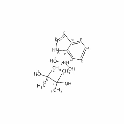 CC(C)(O)C(C)(C)O.OBO.c1ccc2[nH]ncc2c1